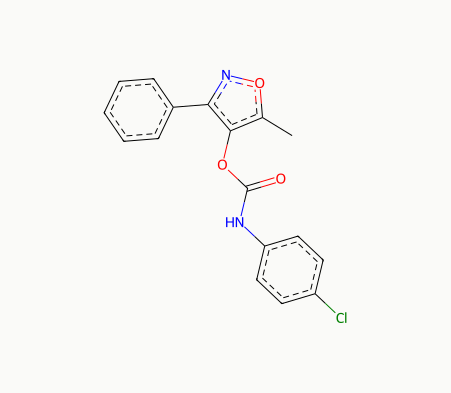 Cc1onc(-c2ccccc2)c1OC(=O)Nc1ccc(Cl)cc1